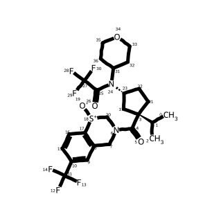 CC(C)[C@]1(C(=O)N2Cc3cc(C(F)(F)F)ccc3[S+]([O-])C2)CC[C@@H](N(C(=O)C(F)(F)F)C2CCOCC2)C1